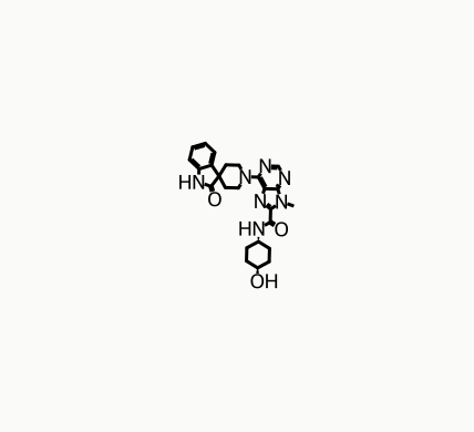 Cn1c(C(=O)N[C@H]2CC[C@H](O)CC2)nc2c(N3CCC4(CC3)C(=O)Nc3ccccc34)ncnc21